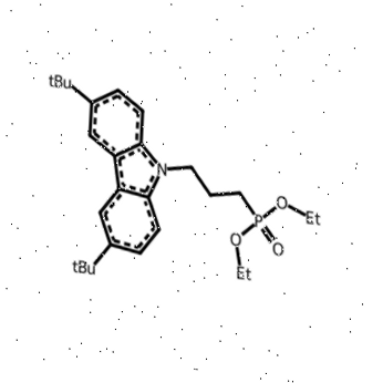 CCOP(=O)(CCCn1c2ccc(C(C)(C)C)cc2c2cc(C(C)(C)C)ccc21)OCC